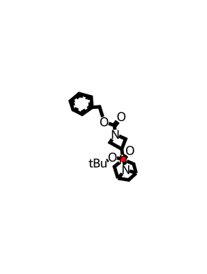 CC(C)(C)OC(=O)N1C2CC1CN(C1CN(C(=O)OCc3ccccc3)C1)C2